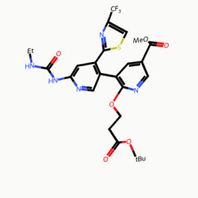 CCNC(=O)Nc1cc(-c2nc(C(F)(F)F)cs2)c(-c2cc(C(=O)OC)cnc2OCCC(=O)OC(C)(C)C)cn1